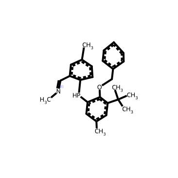 C/N=C/c1cc(C)ccc1Pc1cc(C)cc(C(C)(C)C)c1OCc1ccccc1